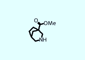 COC(=O)C12CCC(CNC1)C2